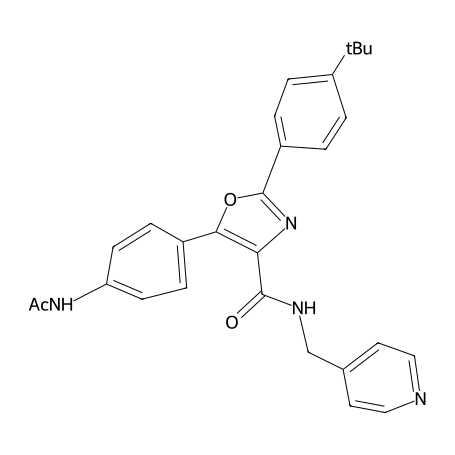 CC(=O)Nc1ccc(-c2oc(-c3ccc(C(C)(C)C)cc3)nc2C(=O)NCc2ccncc2)cc1